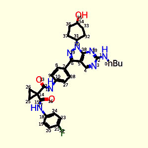 CCCCNc1ncc2c(-c3ccc(NC(=O)C4(C(=O)Nc5ccc(F)cc5)CC4)cc3)nn(C3CCC(O)CC3)c2n1